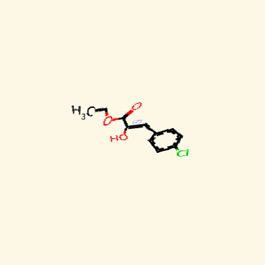 CCOC(=O)/C(O)=C/c1ccc(Cl)cc1